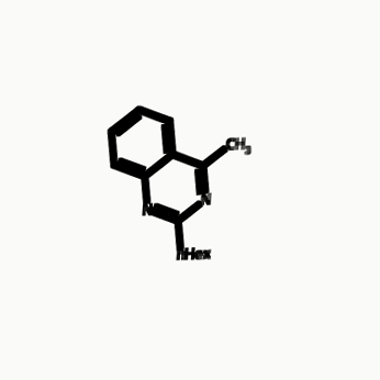 CCCCCCc1nc(C)c2ccccc2n1